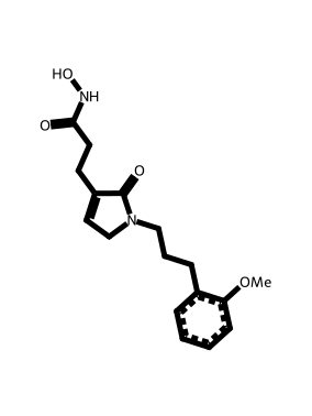 COc1ccccc1CCCN1CC=C(CCC(=O)NO)C1=O